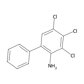 Nc1c(-c2ccccc2)cc(Cl)c(Cl)c1Cl